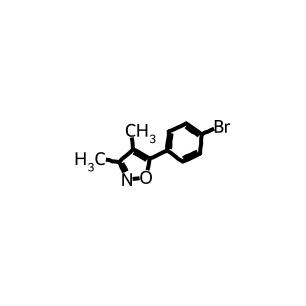 Cc1noc(-c2ccc(Br)cc2)c1C